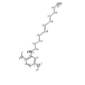 COc1ccc(OC)c(NCCCCCCCCCCO)c1